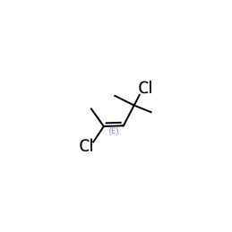 C/C(Cl)=C\C(C)(C)Cl